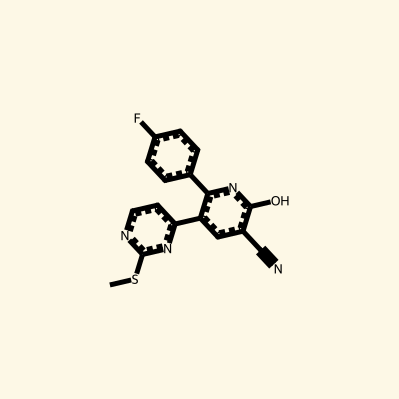 CSc1nccc(-c2cc(C#N)c(O)nc2-c2ccc(F)cc2)n1